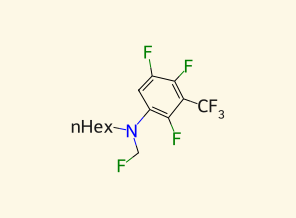 CCCCCCN(CF)c1cc(F)c(F)c(C(F)(F)F)c1F